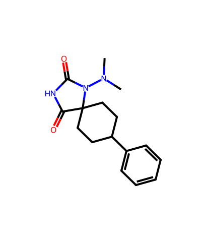 CN(C)N1C(=O)NC(=O)C12CCC(c1ccccc1)CC2